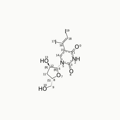 O=c1[nH]c(=O)n([C@@H]2O[C@H](CO)C[C@H]2O)cc1C(I)=CI